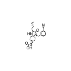 CSCCC1NC2(CCN(SC(=O)O)CC2)N(Cc2cccc(C#N)c2)C1=O